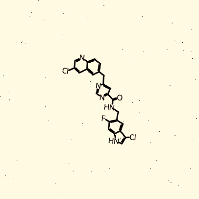 O=C(NCc1cc2c(Cl)c[nH]c2cc1F)c1cc(Cc2ccc3ncc(Cl)cc3c2)ncn1